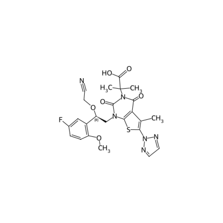 COc1ccc(F)cc1[C@H](Cn1c(=O)n(C(C)(C)C(=O)O)c(=O)c2c(C)c(-n3nccn3)sc21)OCC#N